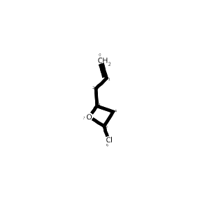 C=CCC1CC(Cl)O1